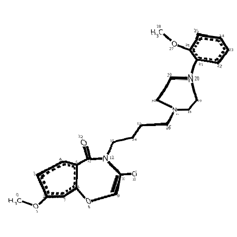 COc1ccc2c(c1)OC=C(Cl)N(CCCCN1CCN(c3ccccc3OC)CC1)C2=O